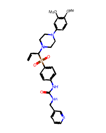 C=CC(N1CCN(c2ccc(OC)c(OC)c2)CC1)S(=O)(=O)c1ccc(NC(=O)NCc2cccnc2)cc1